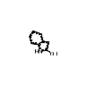 Oc1[c]c2ccccc2[nH]1